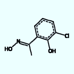 C/C(=N\O)c1cccc(Cl)c1O